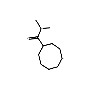 CN(C)C(=O)C1CC[CH]CCCC1